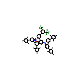 Cc1cc(C)c(-c2ccc3c(c2)c2cc(-c4c(C)cc(C)cc4C)ccc2n3-c2ccc(C#N)c(-c3cc(-c4cc(C(F)(F)F)cc(C(F)(F)F)c4)ccc3-n3c4ccc(-c5c(C)cc(C)cc5C)cc4c4cc(-c5c(C)cc(C)cc5C)ccc43)c2)c(C)c1